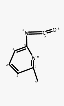 Cc1cccc(N=C=O)n1